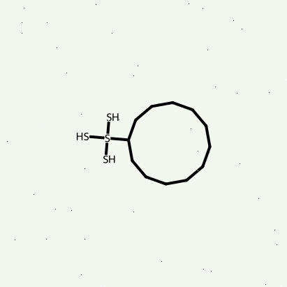 SS(S)(S)C1CCCCCCCCCCC1